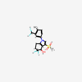 N#Cc1ccc(-n2cc(S(=O)(=O)C(F)(F)F)c3c2CCC(F)(F)C3O)cc1C(F)F